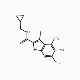 Cc1nc2sc(C(=O)NCC3CC3)c(Br)c2c(C)c1Cl